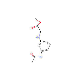 COC(=O)CNc1cccc(NC(C)=O)c1